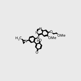 COCCOc1cc2ncnc(Nc3ccc(N4CC4C)cc3C3=CC(=O)C=CC3=O)c2cc1OC